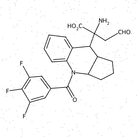 NC(CC=O)(C(=O)O)C1c2ccccc2N(C(=O)c2cc(F)c(F)c(F)c2)C2CCCC21